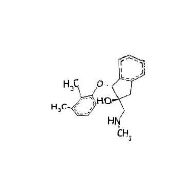 CNC[C@@]1(O)Cc2ccccc2[C@H]1Oc1cccc(C)c1C